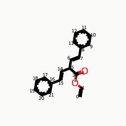 C=COC(=O)C(C=Cc1ccccc1)C=Cc1ccccc1